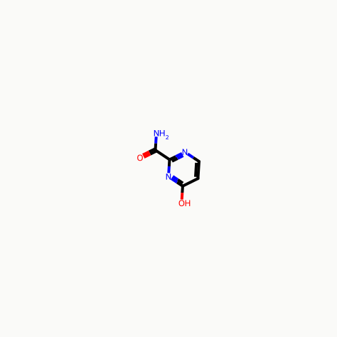 NC(=O)c1nccc(O)n1